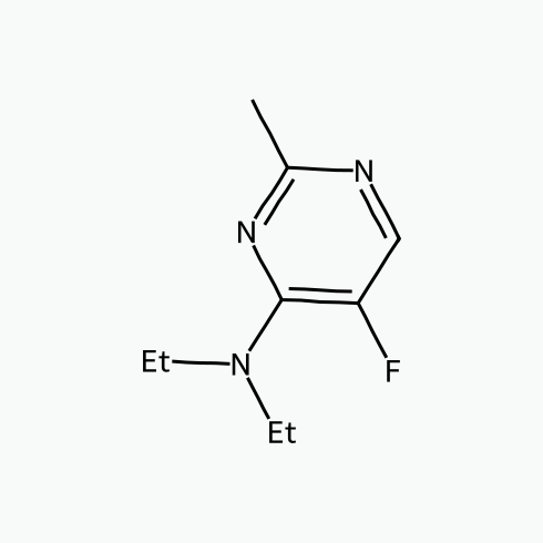 CCN(CC)c1nc(C)ncc1F